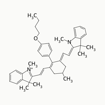 CCCCOc1ccc(C2=C(/C=C/C3=[N+](C)c4ccccc4C3(C)C)CC(C)C/C2=C\C=C2/N(C)c3ccccc3C2(C)C)cc1